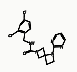 O=C(NCc1ccc(Cl)cc1Cl)N1CC2(CCN2c2ncccn2)C1